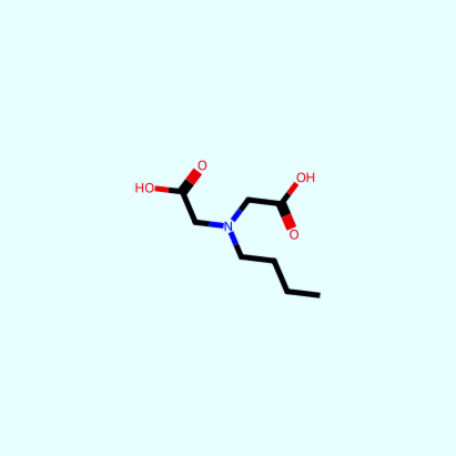 CCCCN(CC(=O)O)CC(=O)O